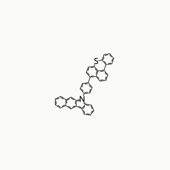 c1ccc2c(c1)Sc1ccc(-c3ccc(-n4c5ccccc5c5cc6ccccc6cc54)cc3)c3cccc-2c13